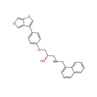 O[C@H](CNCc1cccc2ccccc12)COc1ccc(-c2csc3cocc23)cc1